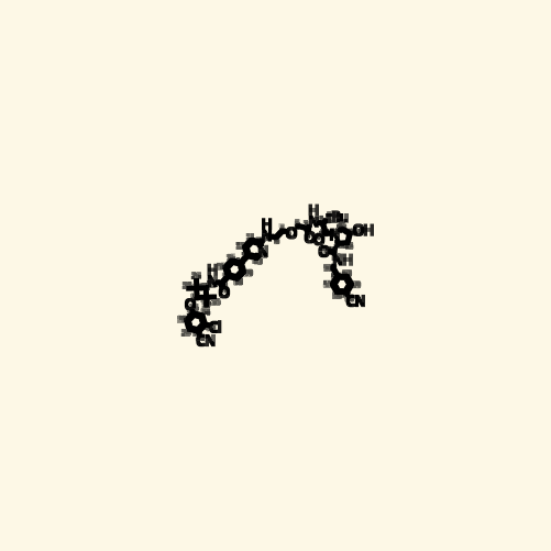 CC(C)(C)C(NC(=O)COCCNc1ccc(-c2ccc(C(=O)N[C@H]3C(C)(C)[C@H](Oc4ccc(C#N)c(Cl)c4)C3(C)C)cc2)cn1)C(=O)N1C[C@H](O)C[C@H]1C(=O)NCc1ccc(C#N)cc1